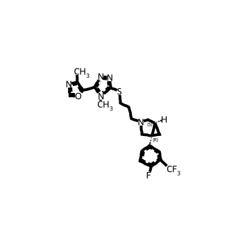 Cc1ncoc1-c1nnc(SCCCN2C[C@H]3C[C@@]3(c3ccc(F)c(C(F)(F)F)c3)C2)n1C